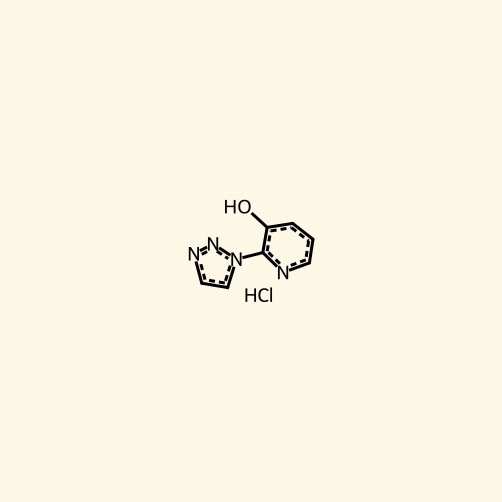 Cl.Oc1cccnc1-n1ccnn1